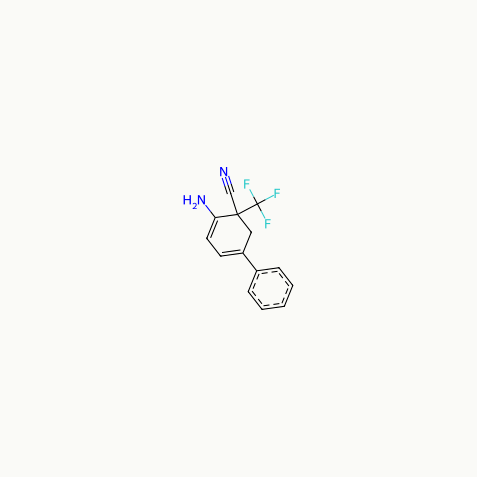 N#CC1(C(F)(F)F)CC(c2ccccc2)=CC=C1N